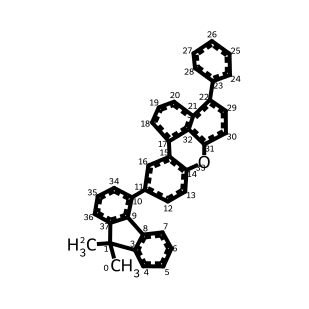 CC1(C)c2ccccc2-c2c(-c3ccc4c(c3)-c3cccc5c(-c6ccccc6)ccc(c35)O4)cccc21